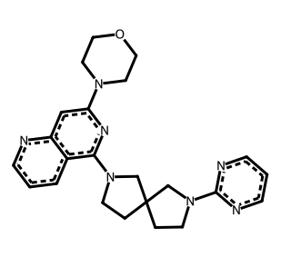 c1cnc(N2CCC3(CCN(c4nc(N5CCOCC5)cc5ncccc45)C3)C2)nc1